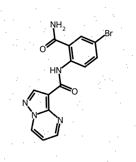 NC(=O)c1cc(Br)ccc1NC(=O)c1cnn2cccnc12